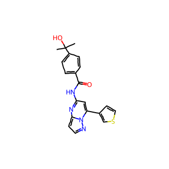 CC(C)(O)c1ccc(C(=O)Nc2cc(-c3ccsc3)n3nccc3n2)cc1